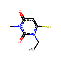 Cn1c(=O)cc(S)n(CC(C)(C)C)c1=O